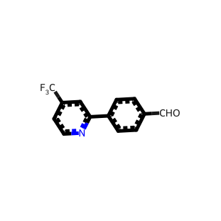 O=Cc1ccc(-c2cc(C(F)(F)F)ccn2)cc1